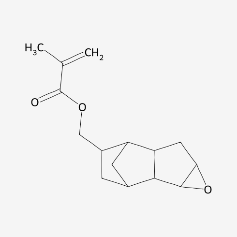 C=C(C)C(=O)OCC1CC2CC1C1CC3OC3C21